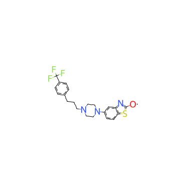 [O]c1nc2cc(N3CCN(CCCc4ccc(C(F)(F)F)cc4)CC3)ccc2s1